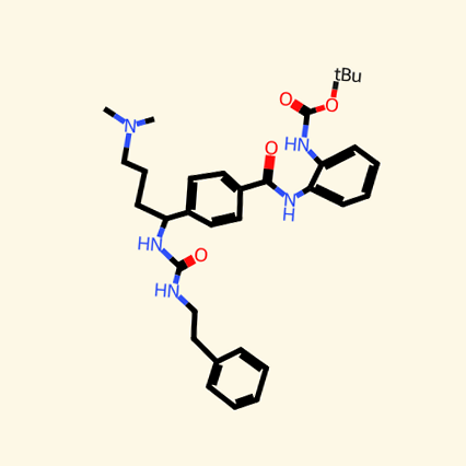 CN(C)CCCC(NC(=O)NCCc1ccccc1)c1ccc(C(=O)Nc2ccccc2NC(=O)OC(C)(C)C)cc1